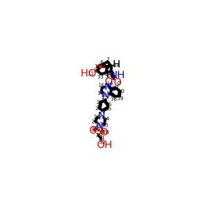 O=C(NC1[C@@H]2CC3C[C@H]1CC(O)(C3)C2)ON1CCN(c2ccc(N3CCN(S(=O)(=O)CCO)CC3)cc2)c2ccccc21